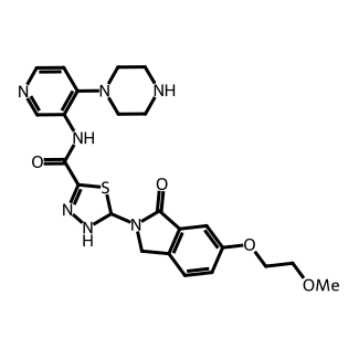 COCCOc1ccc2c(c1)C(=O)N(C1NN=C(C(=O)Nc3cnccc3N3CCNCC3)S1)C2